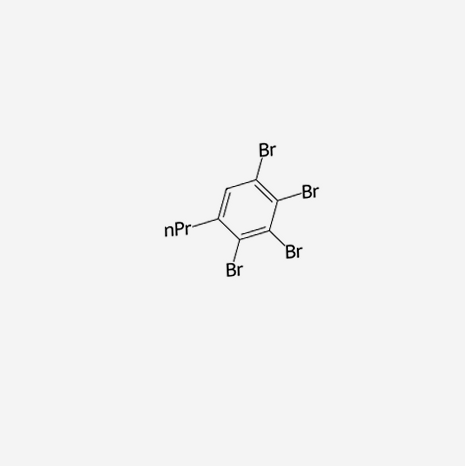 CCCc1cc(Br)c(Br)c(Br)c1Br